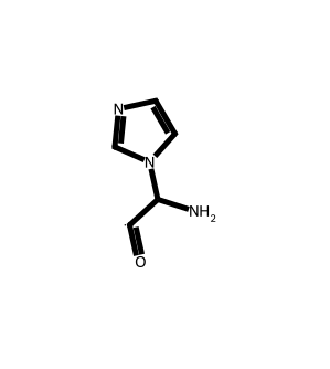 NC([C]=O)n1ccnc1